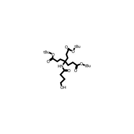 CC(C)(C)OC(=O)CCC(CCC(=O)OC(C)(C)C)(CCC(=O)OC(C)(C)C)NC(=O)CCCO